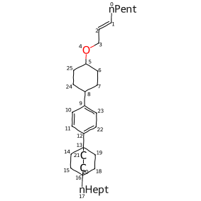 CCCCCC=CCOC1CCC(c2ccc(C34CCC(CCCCCCC)(CC3)CC4)cc2)CC1